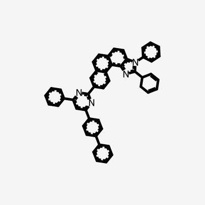 C1=CCC(c2nc3c4c(ccc5cc(-c6nc(-c7ccccc7)cc(-c7ccc(-c8ccccc8)cc7)n6)ccc54)ccc3n2-c2ccccc2)C=C1